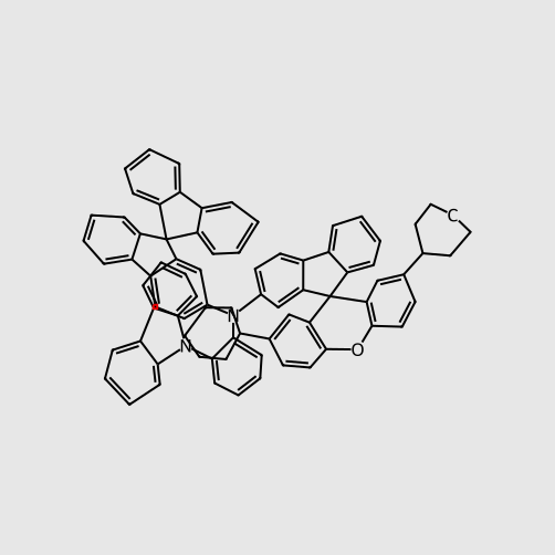 c1ccc2c(c1)-c1ccc(N(c3ccc4c(c3)C3(c5ccccc5-c5ccccc53)c3ccccc3-4)c3ccccc3-n3c4ccccc4c4ccccc43)cc1C21c2cc(C3CCCCC3)ccc2Oc2ccc(C3CCCCC3)cc21